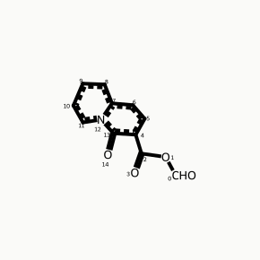 O=COC(=O)c1ccc2ccccn2c1=O